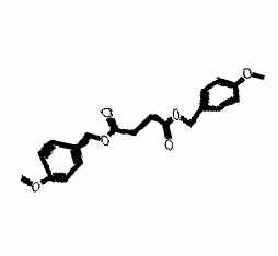 COc1ccc(COC(=O)CCC(=O)OCc2ccc(OC)cc2)cc1